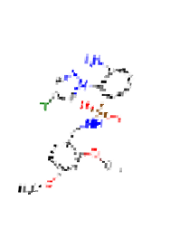 COc1ccc(CNS(=O)(=O)c2cccc(N)c2-n2cc(Cl)cn2)c(OC)c1